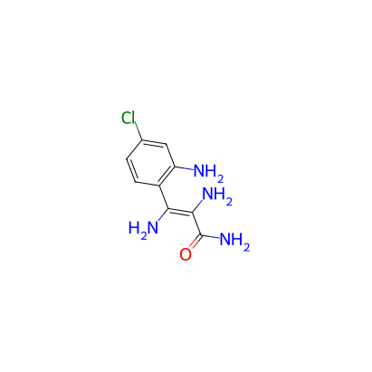 NC(=O)/C(N)=C(\N)c1ccc(Cl)cc1N